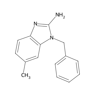 Cc1ccc2nc(N)n(Cc3ccccc3)c2c1